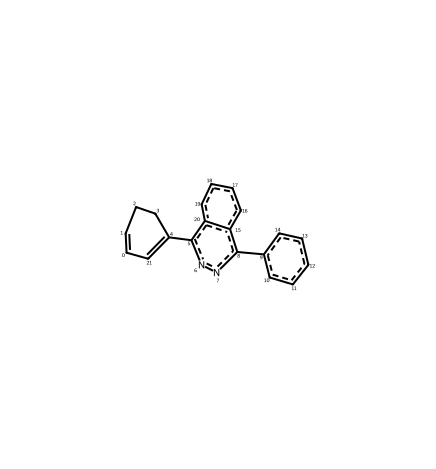 C1=CCCC(c2nnc(-c3ccccc3)c3ccccc23)=C1